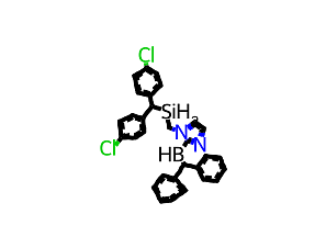 Clc1ccc(C([SiH2]Cn2ccnc2BC(c2ccccc2)c2ccccc2)c2ccc(Cl)cc2)cc1